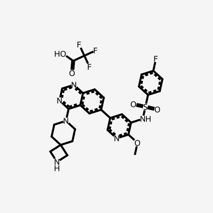 COc1ncc(-c2ccc3ncnc(N4CCC5(CC4)CNC5)c3c2)cc1NS(=O)(=O)c1ccc(F)cc1.O=C(O)C(F)(F)F